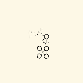 CC1(C)OB(c2cccc3nc(-c4ccc5c(c4)C4(c6ccccc6-c6ccccc64)c4ccccc4-5)ccc23)OC1(C)C